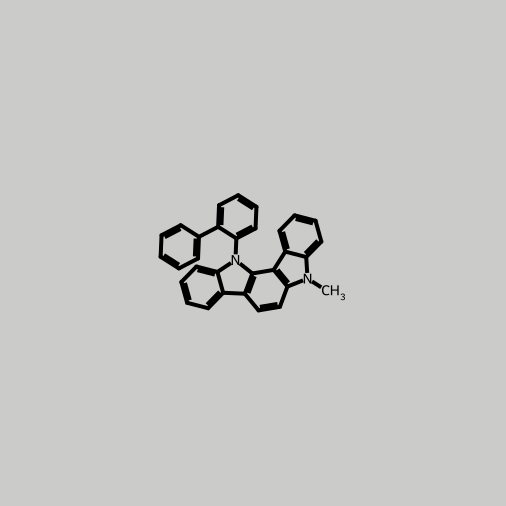 Cn1c2ccccc2c2c1ccc1c3ccccc3n(-c3ccccc3-c3ccccc3)c12